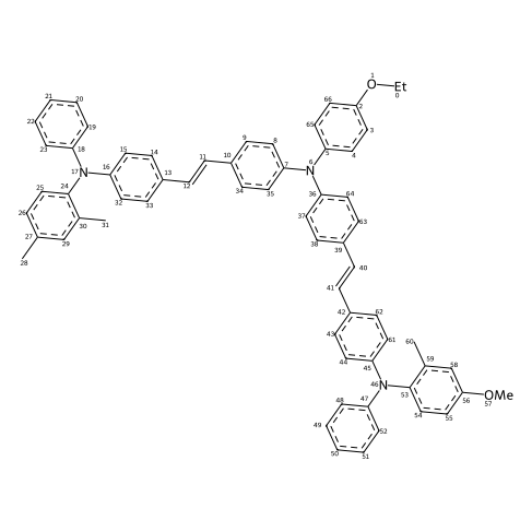 CCOc1ccc(N(c2ccc(/C=C/c3ccc(N(c4ccccc4)c4ccc(C)cc4C)cc3)cc2)c2ccc(/C=C/c3ccc(N(c4ccccc4)c4ccc(OC)cc4C)cc3)cc2)cc1